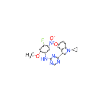 COc1cc(F)c([N+](=O)[O-])cc1Nc1ncnc(-c2cn(C3CC3)c3ccccc23)n1